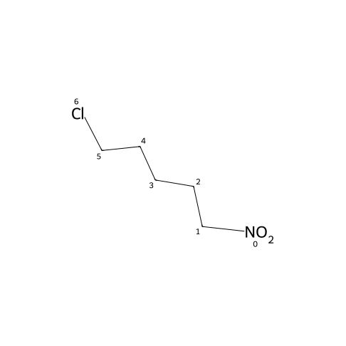 O=[N+]([O-])CCCCCCl